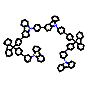 c1cc(-c2ccc(C3(c4ccc(-c5ccc(-n6c7ccccc7c7cc(-c8ccc(-n9c%10ccccc%10c%10cc(-c%11ccc(C%12(c%13ccc(-c%14cccc(-n%15c%16ccccc%16c%16ccccc%16%15)c%14)cc%13)c%13ccccc%13-c%13ccccc%13%12)cc%11)ccc%109)cc8)ccc76)cc5)cc4)c4ccccc4-c4ccccc43)cc2)cc(-n2c3ccccc3c3ccccc32)c1